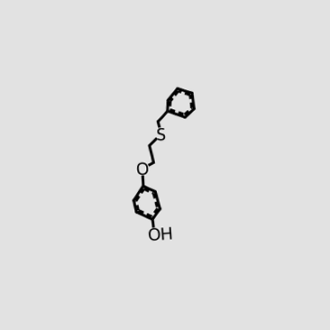 Oc1ccc(OCCSCc2ccccc2)cc1